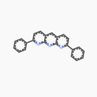 c1ccc(-c2ccc3cc4ccc(-c5ccccc5)nc4nc3n2)cc1